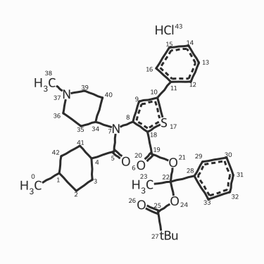 CC1CCC(C(=O)N(c2cc(-c3ccccc3)sc2C(=O)OC(C)(OC(=O)C(C)(C)C)c2ccccc2)C2CCN(C)CC2)CC1.Cl